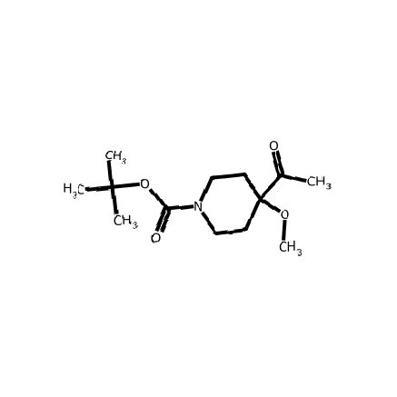 COC1(C(C)=O)CCN(C(=O)OC(C)(C)C)CC1